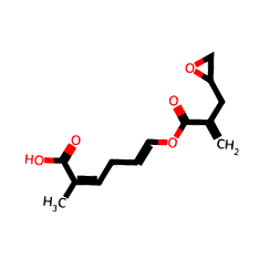 C=C(CC1CO1)C(=O)OC=CCC=C(C)C(=O)O